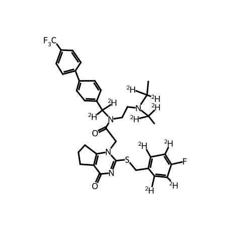 [2H]c1c([2H])c(CSc2nc(=O)c3c(n2CC(=O)N(CCN(C([2H])([2H])C)C([2H])([2H])C)C([2H])([2H])c2ccc(-c4ccc(C(F)(F)F)cc4)cc2)CCC3)c([2H])c([2H])c1F